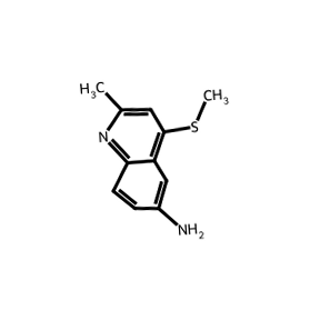 CSc1cc(C)nc2ccc(N)cc12